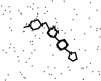 CN1CCN(Cc2ccc(-c3ccc(N4CCCC4)cc3)nn2)CC1